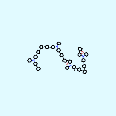 Cc1cc(N(c2ccccc2)c2cccc3c2oc2ccc(-c4ccc(-c5ccc(N(c6ccccc6)c6ccc(-c7ccc(-c8cccc(-c9ccc(-c%10ccc(N(c%11ccccc%11)c%11ccc(-c%12ccccc%12)cc%11)cc%10)cc9)c8)cc7)cc6)cc5)cc4)cc23)ccc1-c1ccc(-c2ccccc2-c2ccc(-c3ccc(N(c4ccccc4)c4cccc5c4oc4ccccc45)cc3)cc2)cc1